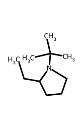 CCC1CCCN1C(C)(C)C